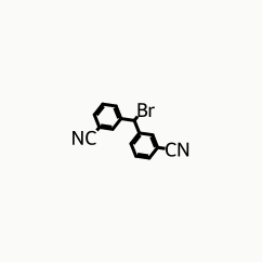 N#Cc1cccc(C(Br)c2cccc(C#N)c2)c1